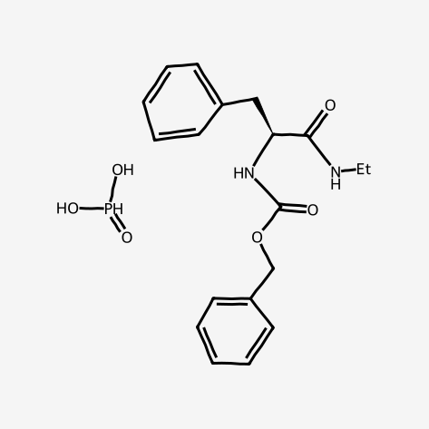 CCNC(=O)[C@H](Cc1ccccc1)NC(=O)OCc1ccccc1.O=[PH](O)O